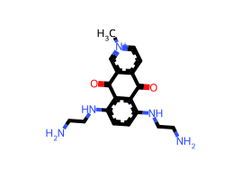 C[n+]1ccc2c(c1)C(=O)c1c(NCCN)ccc(NCCN)c1C2=O